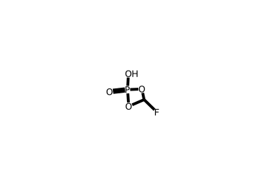 O=P1(O)OC(F)O1